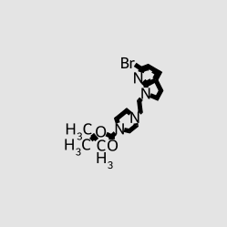 CC(C)(C)OC(=O)N1CCN(CCN2CCc3ccc(Br)nc32)CC1